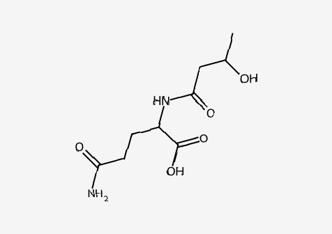 CC(O)CC(=O)NC(CCC(N)=O)C(=O)O